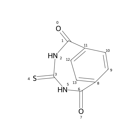 O=C1NC(=S)NC(=O)c2ccc1cc2